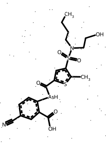 CCCCN(CCO)S(=O)(=O)c1cc(C(=O)[AsH]c2ccc(C#N)cc2C(=O)O)sc1C